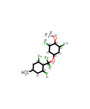 CC1CC(F)C(C(F)(F)OC2CC(F)C(OC(F)(F)F)C(F)C2)C(F)C1